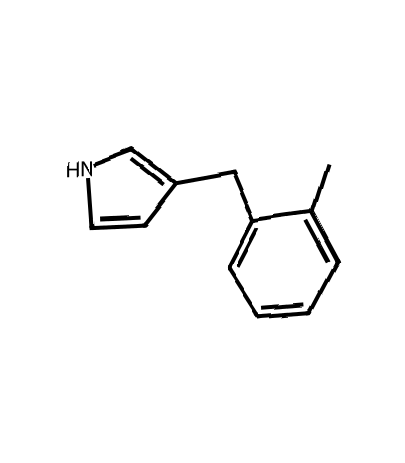 Cc1ccccc1Cc1cc[nH]c1